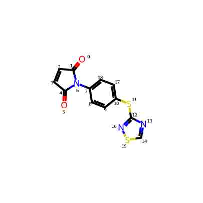 O=C1C=CC(=O)N1c1ccc(Sc2ncsn2)cc1